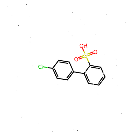 O=S(=O)(O)c1ccccc1-c1ccc(Cl)cc1